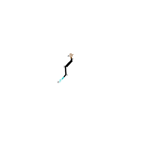 FCC=CBr